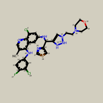 N#Cc1cnc2c(Cl)cc(NC(C3=CN(CCN4CCOCC4)NN3)c3cscn3)cc2c1Nc1ccc(F)c(Cl)c1